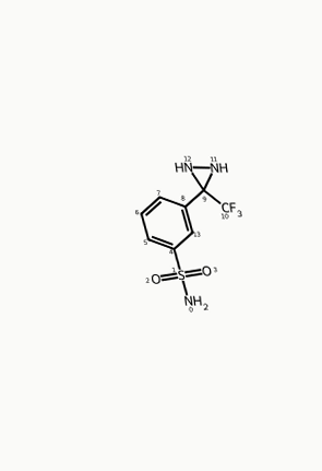 NS(=O)(=O)c1cccc(C2(C(F)(F)F)NN2)c1